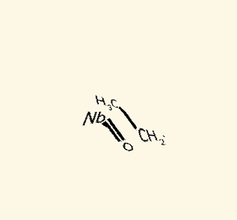 [CH2]C.[O]=[Nb]